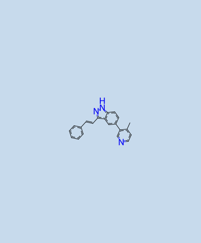 Cc1ccncc1-c1ccc2[nH]nc(C=Cc3ccccc3)c2c1